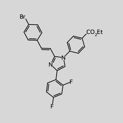 CCOC(=O)c1ccc(-n2cc(-c3ccc(F)cc3F)nc2/C=C/c2ccc(Br)cc2)cc1